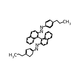 CCCC1=C=C=C(/N=N/c2ccc3ccccc3c2-c2c(/N=N/C3=CC=C(CCC)CC3)ccc3ccccc23)C=C1